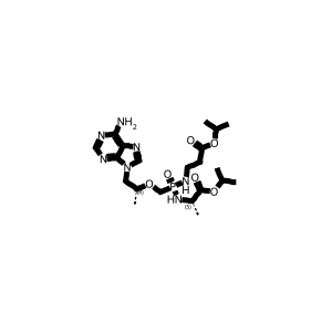 CC(C)OC(=O)CCNP(=O)(CO[C@H](C)Cn1cnc2c(N)ncnc21)N[C@@H](C)C(=O)OC(C)C